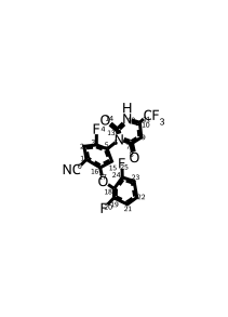 N#Cc1cc(F)c(-n2c(=O)cc(C(F)(F)F)[nH]c2=O)cc1Oc1c(F)cccc1F